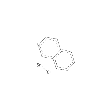 [Cl][Sn].c1ccc2cnccc2c1